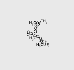 CCCNCC(COc1ccc(/C(=C(/CC)c2ccc3c(c2)OCO3)c2ccc(OCOC(=O)C(C)(C)C)cc2)cc1)OC(C)=O